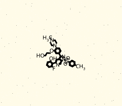 Cc1ccc(S(=O)(=O)n2nc(-c3ccc(N4CCN(C)CC4)c(OCCCO)c3)c3cc(-c4c(O)cccc4F)ncc32)cc1